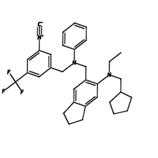 [C-]#[N+]c1cc(CN(Cc2cc3c(cc2N(CC)CC2CCCC2)CCC3)c2ccccc2)cc(C(F)(F)F)c1